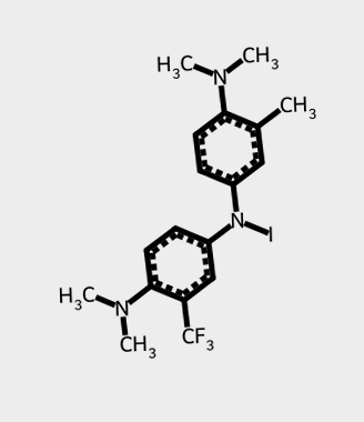 Cc1cc(N(I)c2ccc(N(C)C)c(C(F)(F)F)c2)ccc1N(C)C